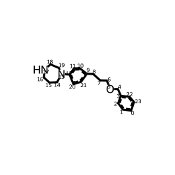 c1ccc(COCCCc2ccc(N3CCCNCC3)cc2)cc1